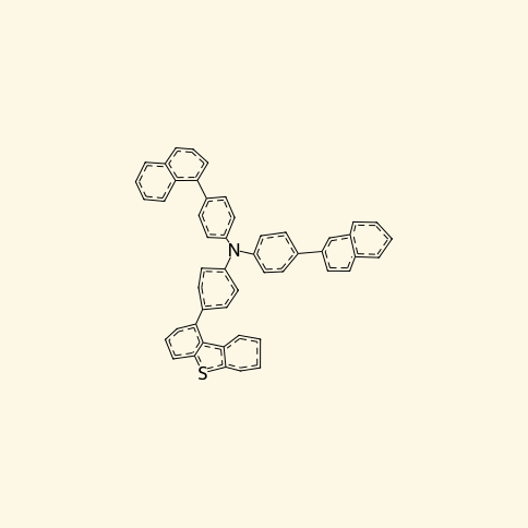 c1ccc2cc(-c3ccc(N(c4ccc(-c5cccc6ccccc56)cc4)c4ccc(-c5cccc6sc7ccccc7c56)cc4)cc3)ccc2c1